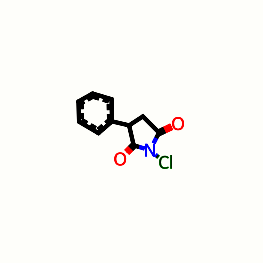 O=C1CC(c2ccccc2)C(=O)N1Cl